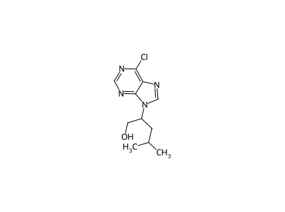 CC(C)CC(CO)n1cnc2c(Cl)ncnc21